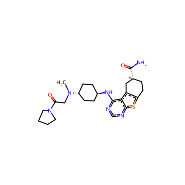 CN(CC(=O)N1CCCC1)[C@H]1CC[C@H](Nc2ncnc3sc4c(c23)C[C@H](C(N)=O)CC4)CC1